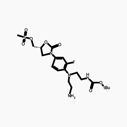 CC(C)(C)OC(=O)NCCN(CCN)c1ccc(N2C[C@H](COS(C)(=O)=O)OC2=O)cc1F